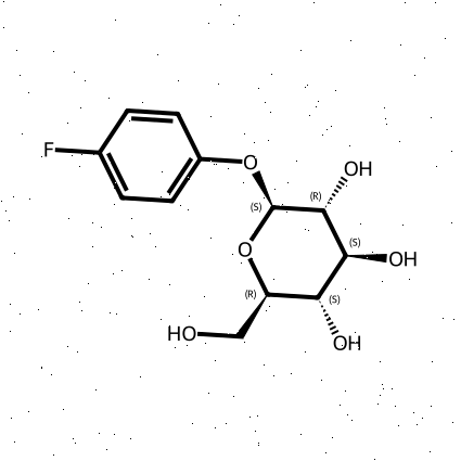 OC[C@H]1O[C@@H](Oc2ccc(F)cc2)[C@H](O)[C@@H](O)[C@@H]1O